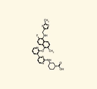 Cc1nc(CNc2c(F)ccc3c(Oc4ncccc4-c4ccnc(NC5CCCN(C(=O)O)C5)n4)c(C)ccc23)cs1